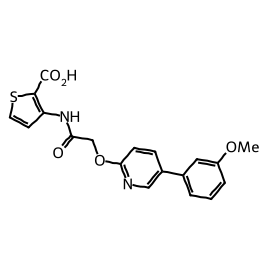 COc1cccc(-c2ccc(OCC(=O)Nc3ccsc3C(=O)O)nc2)c1